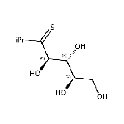 CC(C)C(=S)[C@H](O)[C@H](O)[C@H](O)CO